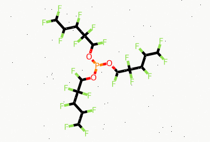 FC(F)C(F)C(F)C(F)(F)C(F)OP(OC(F)C(F)(F)C(F)C(F)C(F)F)OC(F)C(F)(F)C(F)C(F)C(F)F